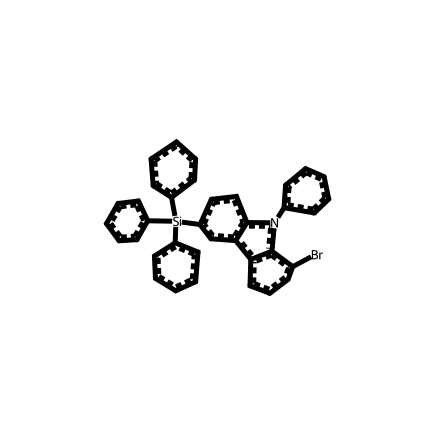 Brc1cccc2c3cc([Si](c4ccccc4)(c4ccccc4)c4ccccc4)ccc3n(-c3ccccc3)c12